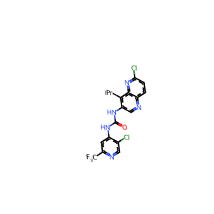 CC(C)c1c(NC(=O)Nc2cc(C(F)(F)F)ncc2Cl)cnc2ccc(Cl)nc12